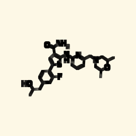 CC(O)Cc1ccc(-c2cc(C(N)=O)c(Nc3cccc(CN4CC(C)OC(C)C4)n3)s2)c(F)c1